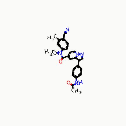 CC(=O)Nc1ccc(-c2cnn3ccc(C(=O)N(C)c4ccc(C#N)c(C)c4)cc23)cc1